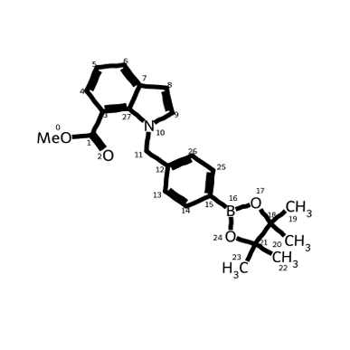 COC(=O)c1cccc2ccn(Cc3ccc(B4OC(C)(C)C(C)(C)O4)cc3)c12